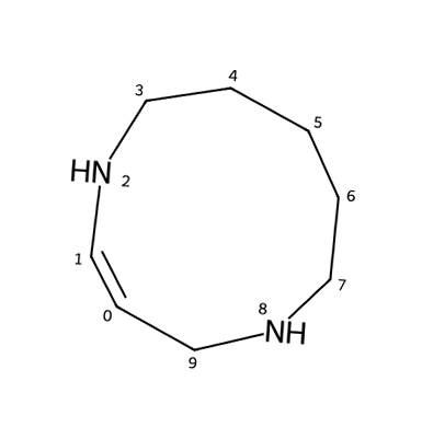 C1=C\NCCCCCNC/1